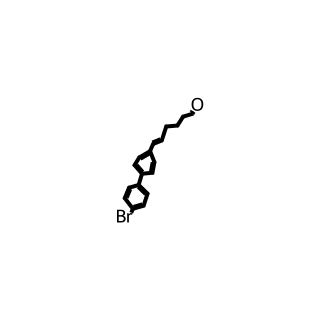 O=CCCCC=Cc1ccc(-c2ccc(Br)cc2)cc1